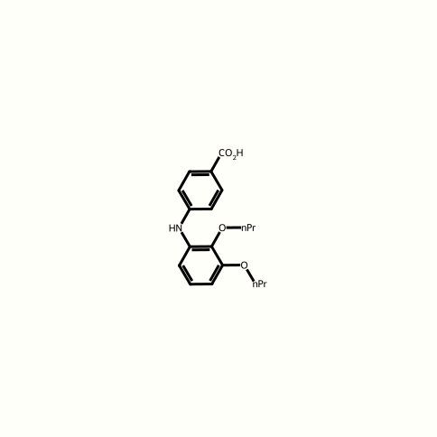 CCCOc1cccc(Nc2ccc(C(=O)O)cc2)c1OCCC